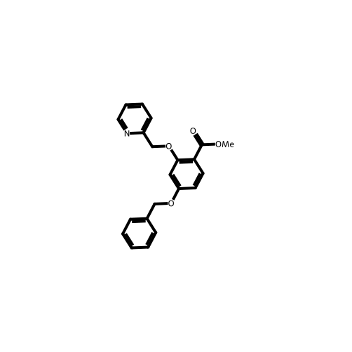 COC(=O)c1ccc(OCc2ccccc2)cc1OCc1ccccn1